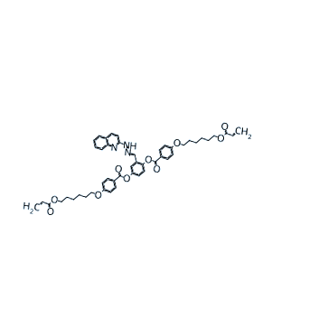 C=CC(=O)OCCCCCCOc1ccc(C(=O)Oc2ccc(OC(=O)c3ccc(OCCCCCCOC(=O)C=C)cc3)c(/C=N/Nc3ccc4ccccc4n3)c2)cc1